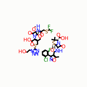 CO[C@@]1(NC(=O)CSC(F)F)C(=O)N2C(C(=O)O)=C(CSc3nnnn3CCO)CO[C@@H]21.Cc1onc(-c2c(F)cccc2Cl)c1C(=O)N[C@@H]1C(=O)N2[C@@H]1SC(C)(C)[C@@H]2C(=O)O